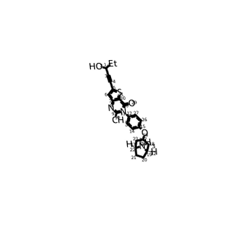 CCC(O)C#Cc1cc2nc(C)n(-c3ccc(OC4C[C@H]5CC[C@@H](C4)N5C)cc3)c(=O)c2s1